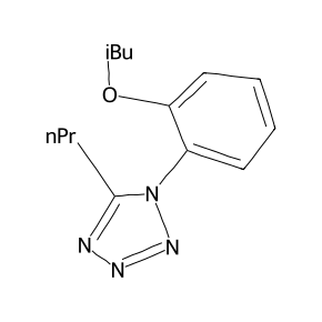 CCCc1nnnn1-c1ccccc1OC(C)CC